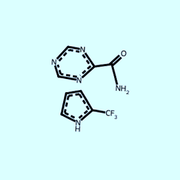 FC(F)(F)c1ccc[nH]1.NC(=O)c1ncncn1